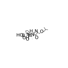 CC(C)COC[C@H](N)C(=O)N[C@H](C)C(=O)N1CCC[C@H]1B(O)O